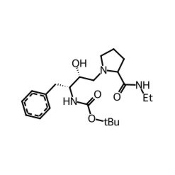 CCNC(=O)C1CCCN1C[C@@H](O)[C@@H](Cc1ccccc1)NC(=O)OC(C)(C)C